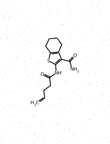 C=CCCC(=O)Nc1sc2c(c1C(N)=O)CCCC2